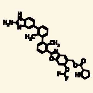 Cc1c(-c2ccc3[nH]c(N)nc3c2)cccc1-c1cccc(-c2nc3cc(COC(=O)[C@@H]4CCCN4)c(OC(F)F)cc3o2)c1C